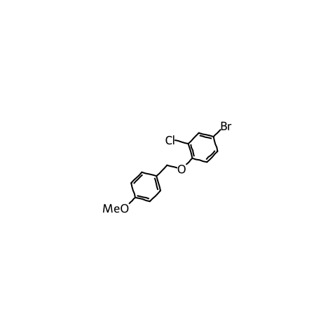 COc1ccc(COc2ccc(Br)cc2Cl)cc1